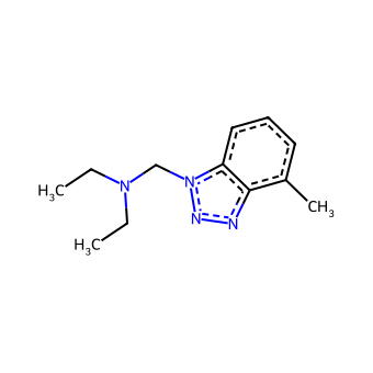 CCN(CC)Cn1nnc2c(C)cccc21